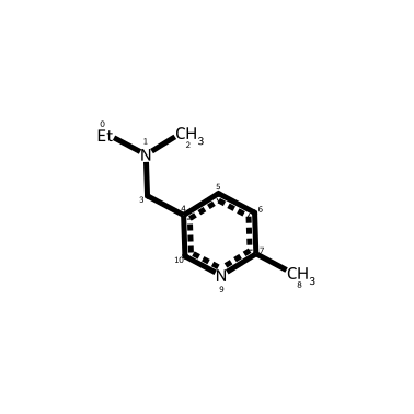 CCN(C)Cc1ccc(C)nc1